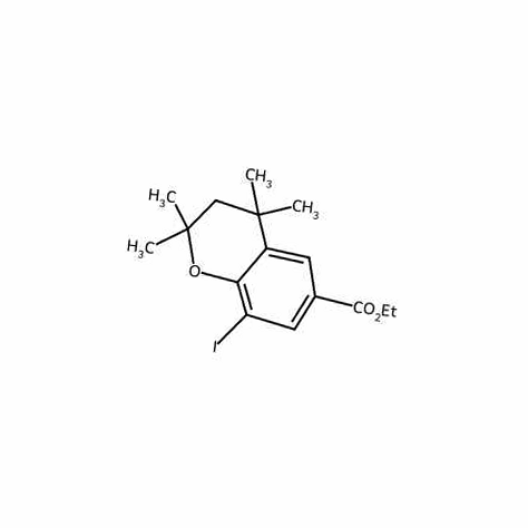 CCOC(=O)c1cc(I)c2c(c1)C(C)(C)CC(C)(C)O2